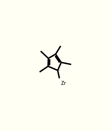 C[C]1C(C)=C(C)C(C)=C1C.[Zr]